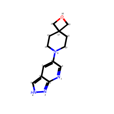 c1nc2n[nH]cc2cc1N1CCC2(CC1)COC2